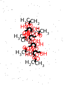 C=C(C)C(=O)OCC1O[C@@H](O[C@@H]2C(CO)O[C@@H](OC(=O)C(=C)C)C(O)C2O)C(O)C(O)[C@@H]1O[C@@H]1OC(COC(=O)C(=C)C)[C@@H](O[C@@H]2OC(CO)[C@@H](O)C(OC(=O)C(=C)C)C2O)C(O)C1OC(=O)C(=C)C